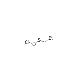 CCCSOCl